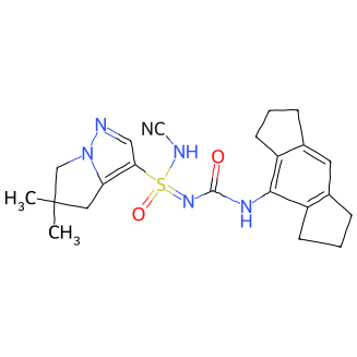 CC1(C)Cc2c(S(=O)(=NC(=O)Nc3c4c(cc5c3CCC5)CCC4)NC#N)cnn2C1